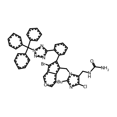 CCCCc1nc(Cl)c(CNC(N)=O)n1Cc1c2ccocc-2c(Br)c1-c1ccccc1-c1nnn(C(c2ccccc2)(c2ccccc2)c2ccccc2)n1